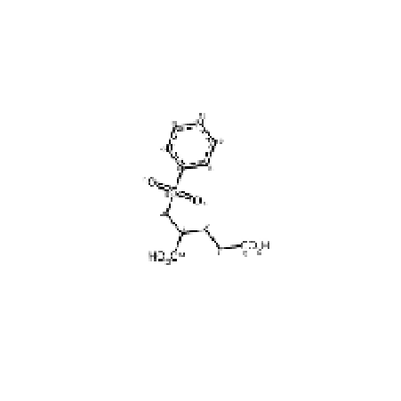 O=C(O)CCC(CS(=O)(=O)c1ccncc1)C(=O)O